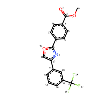 COC(=O)c1ccc(-c2nc(-c3cccc(C(F)(F)F)c3)co2)cc1